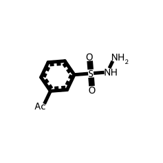 CC(=O)c1cccc(S(=O)(=O)NN)c1